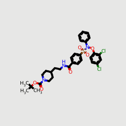 CC(C)(C)OC(=O)N1CCC(CCNC(=O)c2ccc(S(=O)(=O)N(Oc3ccc(Cl)cc3Cl)c3ccccc3)cc2)CC1